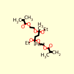 C=C(C)C(=O)OCCOC(C)(CCC(OCC)(OCCOC(=O)C(=C)C)C(C)CCC)OCC